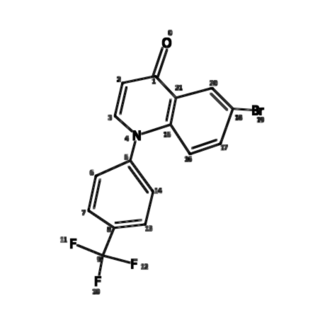 O=c1ccn(-c2ccc(C(F)(F)F)cc2)c2ccc(Br)cc12